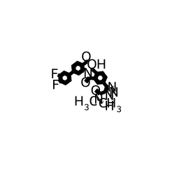 CN(C)C(=O)c1[nH]nnc1-c1ccc2c(c1)C(=O)N(c1cc(-c3ccc(F)c(F)c3)ccc1C(=O)O)C2